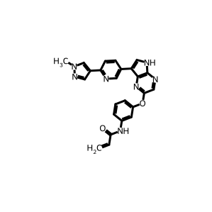 C=CC(=O)Nc1cccc(Oc2cnc3[nH]cc(-c4ccc(-c5cnn(C)c5)nc4)c3n2)c1